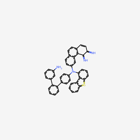 N=C1C=Cc2ccc3ccc(N(c4ccc(-c5ccccc5-c5cccc(N)c5)cc4)c4cccc5sc6ccccc6c45)cc3c2C1=N